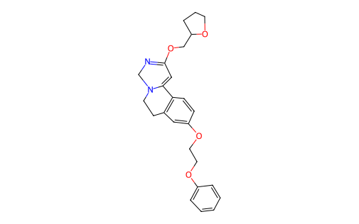 C1=C2c3ccc(OCCOc4ccccc4)cc3CCN2CN=C1OCC1CCCO1